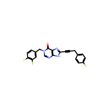 O=c1c2nc(C#CCc3ccc(F)cc3)[nH]c2ncn1Cc1ccc(F)c(F)c1